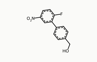 O=[N+]([O-])c1ccc(F)c(-c2ccc(CO)cc2)c1